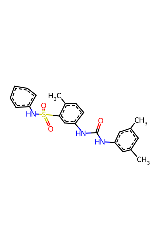 Cc1cc(C)cc(NC(=O)Nc2ccc(C)c(S(=O)(=O)Nc3ccccc3)c2)c1